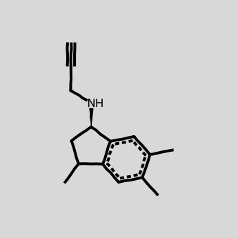 C#CCN[C@@H]1CC(C)c2cc(C)c(C)cc21